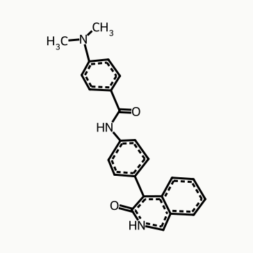 CN(C)c1ccc(C(=O)Nc2ccc(-c3c(=O)[nH]cc4ccccc34)cc2)cc1